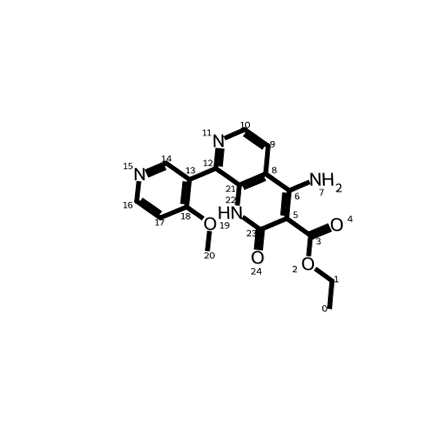 CCOC(=O)c1c(N)c2ccnc(-c3cnccc3OC)c2[nH]c1=O